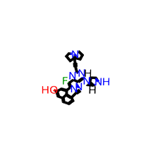 C#Cc1cccc2cc(O)cc(-c3nnc4c(N5C[C@H]6C[C@@H]5CN6)nc(C#CC56CCCN5CCC6)nc4c3F)c12